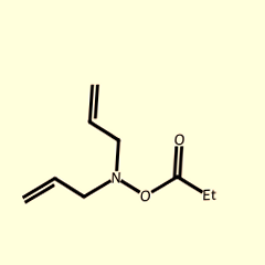 C=CCN(CC=C)OC(=O)CC